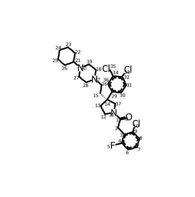 O=C(Cc1c(F)cccc1Cl)N1CC[C@@](CCN2CCN(C3CCCCC3)CC2)(c2ccc(Cl)c(Cl)c2)C1